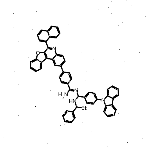 CCC(NC(/N=C(\N)c1ccc(-c2ccc3nc(-c4cccc5ccccc45)c4oc5ccccc5c4c3c2)cc1)c1ccc(-n2c3ccccc3c3ccccc32)cc1)c1ccccc1